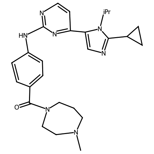 CC(C)n1c(-c2ccnc(Nc3ccc(C(=O)N4CCCN(C)CC4)cc3)n2)cnc1C1CC1